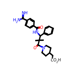 CC(C)(C(=O)N1CCC(CC(=O)O)CC1)C(NC(=O)c1ccc(C(=N)N)cc1)c1ccccc1